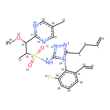 C=CCCc1nnc(NS(=O)(=O)C(C)C(OC(C)C)c2ncc(C)cn2)n1-c1c(F)cccc1C=C